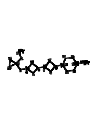 CC(C)CC1(CN2CC(N3CC(N4CCN(C(C)C)CC4)C3)C2)CC1